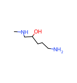 CNCC(O)CCCN